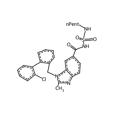 CCCCCNS(=O)(=O)NC(=O)c1ccc2nc(C)n(Cc3ccccc3-c3ccccc3Cl)c2c1